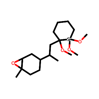 COC1(CC(C)C2CCC3(C)OC3C2)CCCC[Si]1(OC)OC